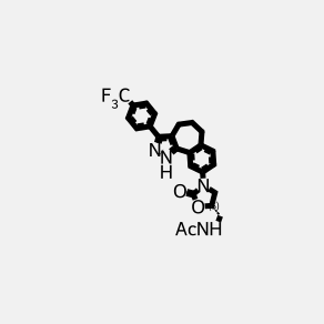 CC(=O)NC[C@H]1CN(c2ccc3c(c2)-c2[nH]nc(-c4ccc(C(F)(F)F)cc4)c2CCC3)C(=O)O1